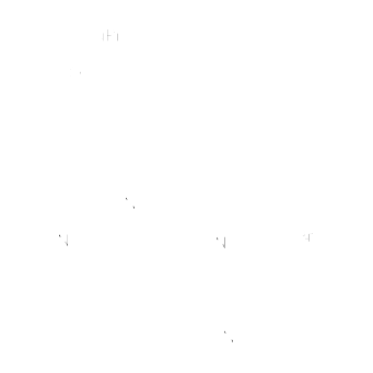 CC(C)Oc1ccn2c(-c3cncc(Br)n3)cnc2c1